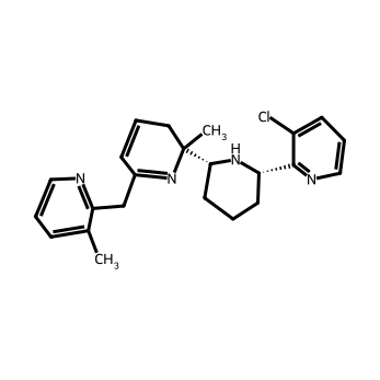 Cc1cccnc1CC1=NC(C)([C@H]2CCC[C@@H](c3ncccc3Cl)N2)CC=C1